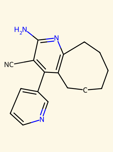 N#Cc1c(N)nc2c(c1-c1cccnc1)CCCCCC2